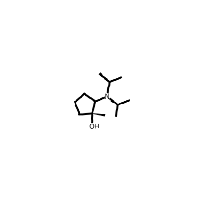 CC(C)N(C(C)C)C1CCC[C@@]1(C)O